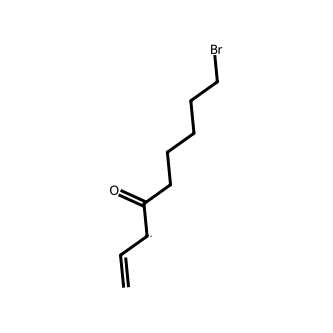 C=C[CH]C(=O)CCCCCBr